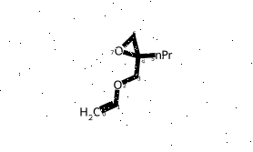 C=COCC1(CCC)CO1